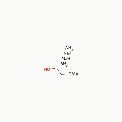 B.COCCO.[AlH3].[NaH].[NaH]